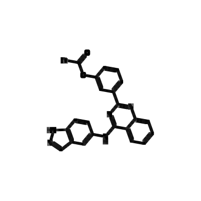 CCC(=O)Oc1cccc(-c2nc(Nc3ccc4[nH]ncc4c3)c3ccccc3n2)c1